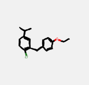 CCOc1ccc(Cc2cc(C(C)C)ccc2Cl)cc1